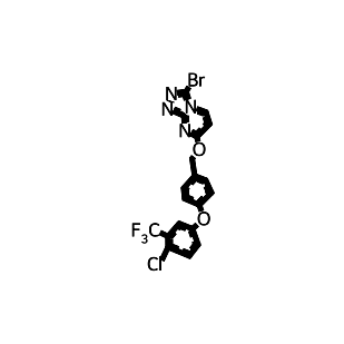 FC(F)(F)c1cc(Oc2ccc(COc3ccn4c(Br)nnc4n3)cc2)ccc1Cl